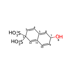 O=S(=O)(O)C1(S(=O)(=O)O)C=CC2=CC(O)C=CC2=C1